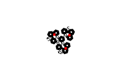 C[Si]1(C)c2ccccc2-c2c1ccc1c2N(c2ccccc2)c2cc(N(c3ccccc3)c3cccc4sc5ccccc5c34)cc3c2B1c1ccc2c(c1N3c1ccccc1)-c1ccccc1[Si]2(C)C